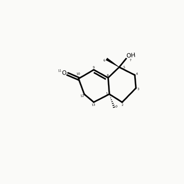 C[C@@]12CCC[C@@](C)(O)C1=CC(=O)CC2